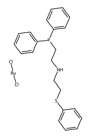 [Cl][Ru][Cl].c1ccc(SCCNCCP(c2ccccc2)c2ccccc2)cc1